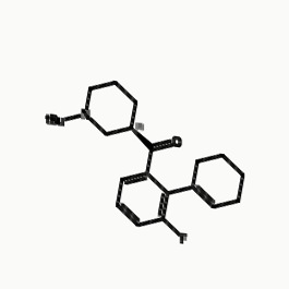 CC(C)(C)N1CCC[C@@H](C(=O)c2cccc(F)c2C2=CCCCC2)C1